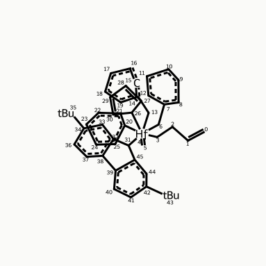 C=CC[CH2][Hf](=[CH2])([CH2]c1ccccc1)([CH2]c1ccccc1)([c]1ccccc1)([CH]1C=CC=C1)[CH]1c2cc(C(C)(C)C)ccc2-c2ccc(C(C)(C)C)cc21